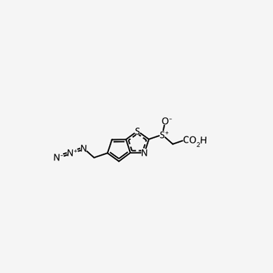 [N-]=[N+]=NCC1=C=c2nc([S+]([O-])CC(=O)O)sc2=C1